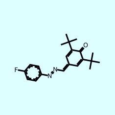 CC(C)(C)C1=CC(=CN=Nc2ccc(F)cc2)C=C(C(C)(C)C)C1=O